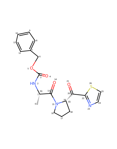 C[C@H](NC(=O)OCc1ccccc1)C(=O)N1CCC[C@H]1C(=O)c1nccs1